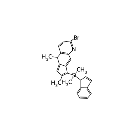 CC1=C([Si](C)(C)C2C=Cc3ccccc32)C2=Cc3nc(Br)ccc3C(C)C2=C1